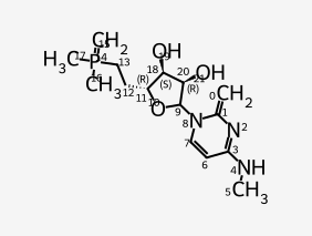 C=C1N=C(NC)C=CN1C1O[C@H](CCP(=C)(C)C)[C@@H](O)[C@H]1O